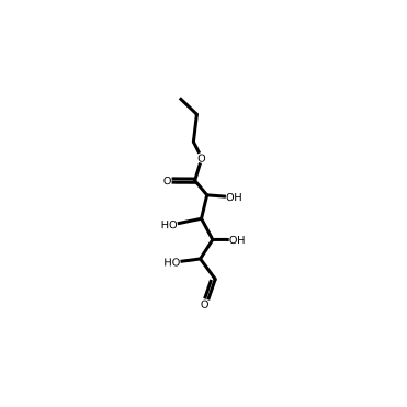 CCCOC(=O)C(O)C(O)C(O)C(O)C=O